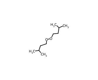 CC(C)CCOOCCC(C)C